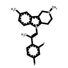 C/C(=C\n1c2c(c3cc(C)ccc31)CN(C)CC2)c1ccc(F)cc1F